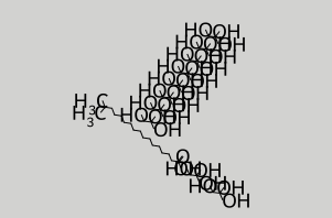 CC(C)CCCCCCCCCCCCCCC(=O)O.OCC(O)CO.OCC(O)CO.OCC(O)CO.OCC(O)CO.OCC(O)CO.OCC(O)CO.OCC(O)CO.OCC(O)CO.OCC(O)CO.OCC(O)CO